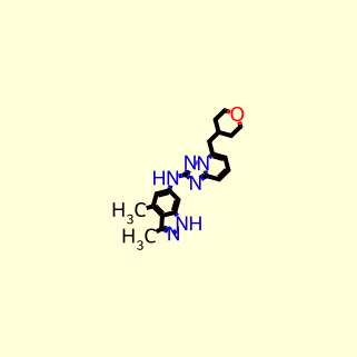 Cc1cc(Nc2nc3cccc(CC4CCOCC4)n3n2)cc2[nH]nc(C)c12